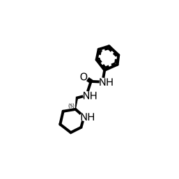 O=C(NC[C@@H]1CCCCN1)Nc1ccccc1